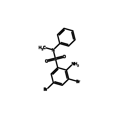 CN(c1ccccc1)S(=O)(=O)c1cc(Br)cc(Br)c1N